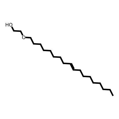 CCCCCCCC/C=C/CCCCCCCCOCCO